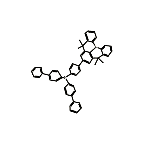 CC1(C)c2ccccc2N2c3ccccc3C(C)(C)c3cc(-c4ccc(N(c5ccc(-c6ccccc6)cc5)c5ccc(-c6ccccc6)cc5)cc4)cc1c32